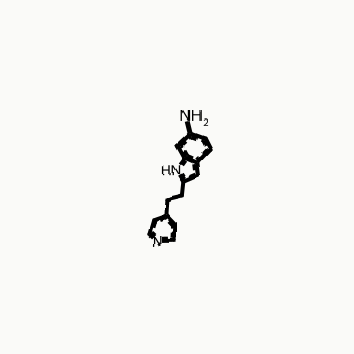 Nc1ccc2cc(CCc3ccncc3)[nH]c2c1